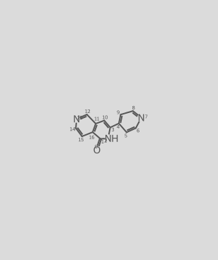 O=c1[nH]c(-c2ccncc2)cc2cnccc12